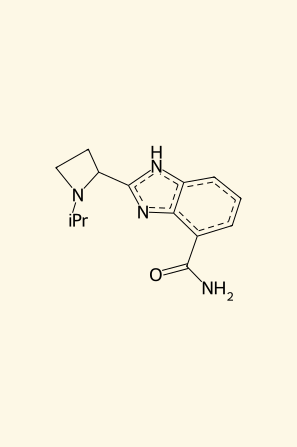 CC(C)N1CCC1c1nc2c(C(N)=O)cccc2[nH]1